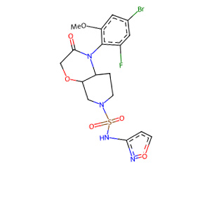 COc1cc(Br)cc(F)c1N1C(=O)COC2CN(S(=O)(=O)Nc3ccon3)CCC21